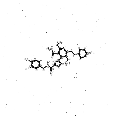 CC(C)Cc1nc(CCc2ccc(F)cc2)c(CO)c(-c2ccc(C(=O)NCc3ccc(F)c(F)c3)s2)c1C(N)=O